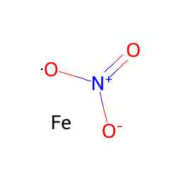 [Fe].[O][N+](=O)[O-]